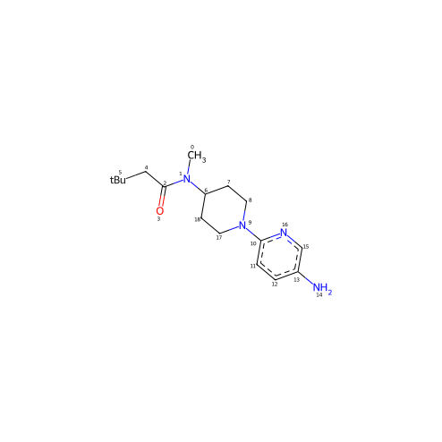 CN(C(=O)CC(C)(C)C)C1CCN(c2ccc(N)cn2)CC1